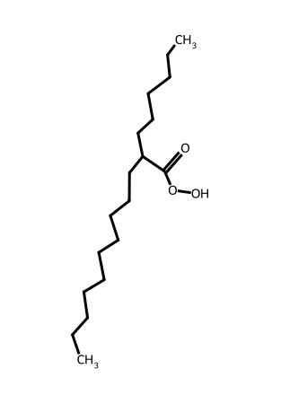 CCCCCCCCCCC(CCCCCC)C(=O)OO